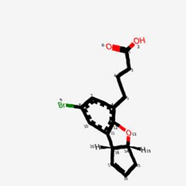 O=C(O)CCCc1cc(Br)cc2c1O[C@@H]1CC=C[C@H]21